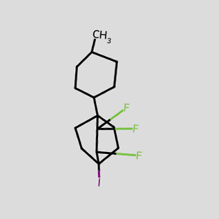 CC1CCC(C23CCC(I)(CC2)C(F)C3(F)F)CC1